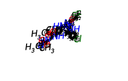 CC(C)OC(=O)C(CNC(=O)C(=O)N(C)C)Nc1ccc(Nc2nc(NC3(c4ccc(Cl)cc4)CC3)nc(OCC(F)(F)F)n2)cc1